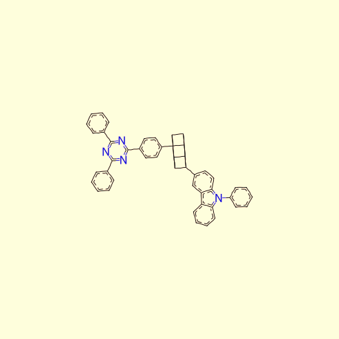 c1ccc(-c2nc(-c3ccccc3)nc(-c3ccc(C45C6C7C4C4C5C6C74c4ccc5c(c4)c4ccccc4n5-c4ccccc4)cc3)n2)cc1